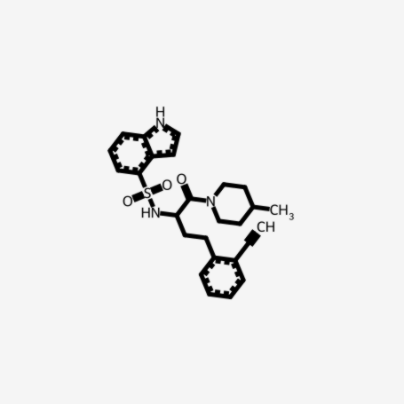 C#Cc1ccccc1CCC(NS(=O)(=O)c1cccc2[nH]ccc12)C(=O)N1CCC(C)CC1